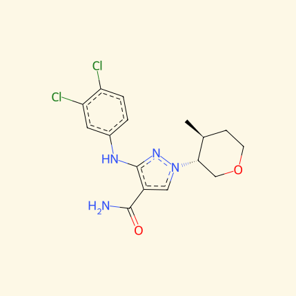 C[C@H]1CCOC[C@@H]1n1cc(C(N)=O)c(Nc2ccc(Cl)c(Cl)c2)n1